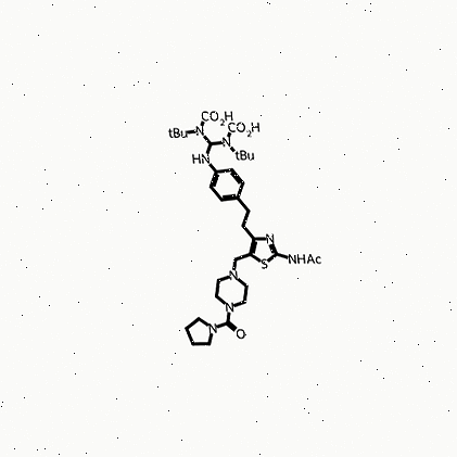 CC(=O)Nc1nc(CCc2ccc(NC(N(C(=O)O)C(C)(C)C)N(C(=O)O)C(C)(C)C)cc2)c(CN2CCN(C(=O)N3CCCC3)CC2)s1